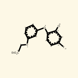 CCOC(=O)COc1cccc(Oc2c[c]c(F)cc2Cl)c1